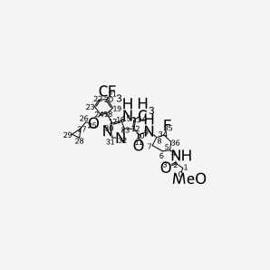 COCC(=O)N[C@H]1CC[C@@H](NC(=O)c2c(C)[nH]c3c(-c4cc(C(F)(F)F)ccc4OCC4CC4)ncnc23)[C@H](F)C1